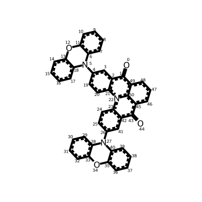 O=c1c2cc(N3c4ccccc4Oc4ccccc43)ccc2n2c3ccc(N4c5ccccc5Oc5ccccc54)cc3c(=O)c3cccc1c32